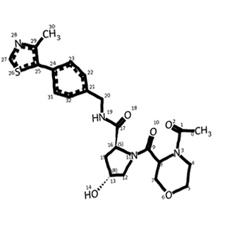 CC(=O)N1CCOCC1C(=O)N1C[C@H](O)C[C@H]1C(=O)NCc1ccc(-c2scnc2C)cc1